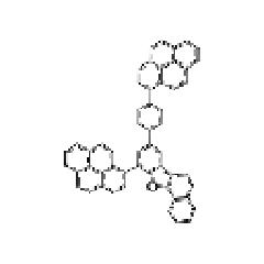 c1ccc2c(c1)ccc1c3cc(-c4ccc(-c5ccc6ccc7cccc8ccc5c6c78)cc4)cc(-c4ccc5ccc6cccc7ccc4c5c67)c3oc21